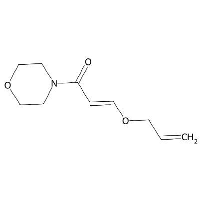 C=CCOC=CC(=O)N1CCOCC1